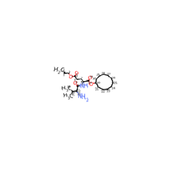 C=CCOC(=O)CC[C@H](NC(=O)C(N)C(C)C)C(=O)OC1CCCCCCCCCC1